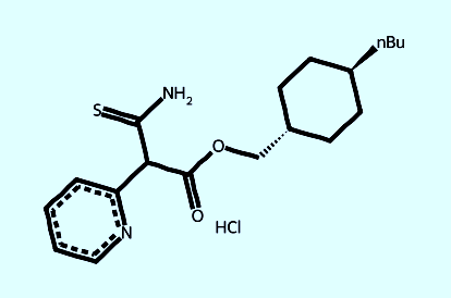 CCCC[C@H]1CC[C@H](COC(=O)C(C(N)=S)c2ccccn2)CC1.Cl